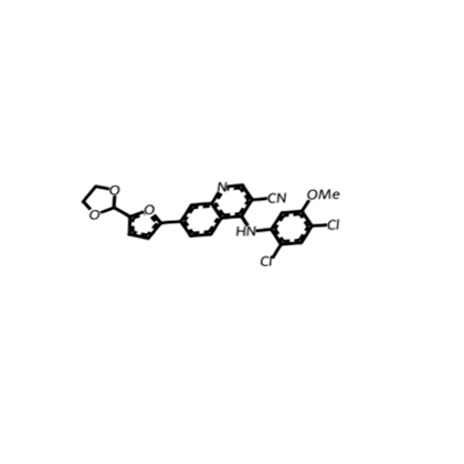 COc1cc(Nc2c(C#N)cnc3cc(-c4ccc(C5OCCO5)o4)ccc23)c(Cl)cc1Cl